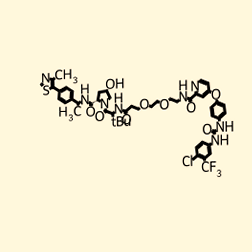 Cc1ncsc1-c1ccc(C(C)NC(=O)[C@@H]2C[C@@H](O)CN2C(=O)C(NC(=O)CCOCCOCCNC(=O)c2cc(Oc3ccc(NC(=O)Nc4ccc(Cl)c(C(F)(F)F)c4)cc3)ccn2)C(C)(C)C)cc1